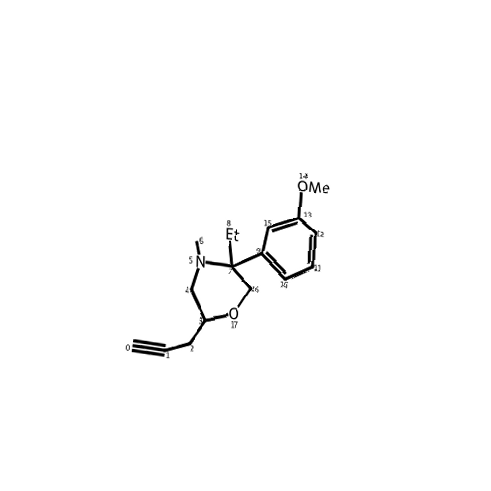 C#CCC1CN(C)C(CC)(c2cccc(OC)c2)CO1